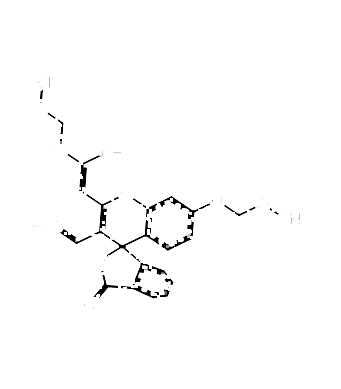 C=CC1=C(/C=C(\C)OCOC)Oc2cc(OCOC)ccc2C12OC(=O)c1ccccc12